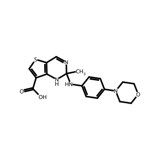 CC1(Nc2ccc(N3CCOCC3)cc2)N=Cc2scc(C(=O)O)c2N1